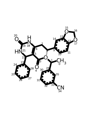 CC(OC(=O)C1=C(CCc2ccc3c(c2)OCO3)NC(=O)NC1c1ccccc1)c1cccc(C#N)c1